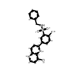 O=S(=O)(NCc1ccccc1)c1cc(-c2ccc3nccc(Cl)c3n2)ccc1F